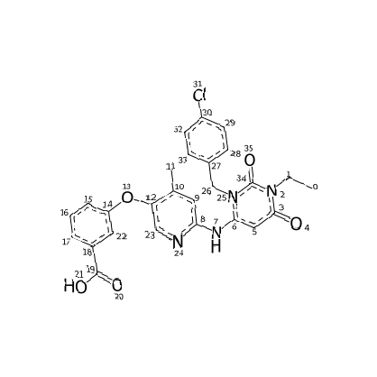 CCn1c(=O)cc(Nc2cc(C)c(Oc3cccc(C(=O)O)c3)cn2)n(Cc2ccc(Cl)cc2)c1=O